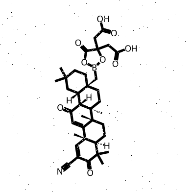 CC1(C)CC[C@]2(CB3OC(=O)C(CC(=O)O)(CC(=O)O)O3)CC[C@]3(C)[C@H](C(=O)C=C4[C@@]5(C)C=C(C#N)C(=O)C(C)(C)[C@@H]5CC[C@]43C)[C@@H]2C1